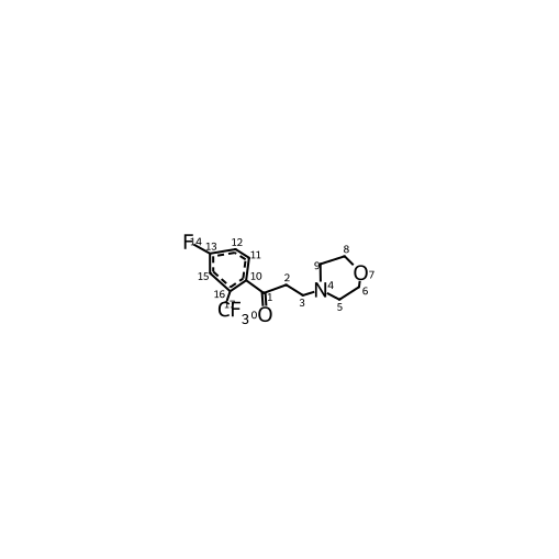 O=C(CCN1CCOCC1)c1ccc(F)cc1C(F)(F)F